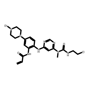 C=CC(=O)Nc1cc(N2CCN(CC)CC2)ccc1Nc1cc(N(C)C(=O)NCCCl)ncn1